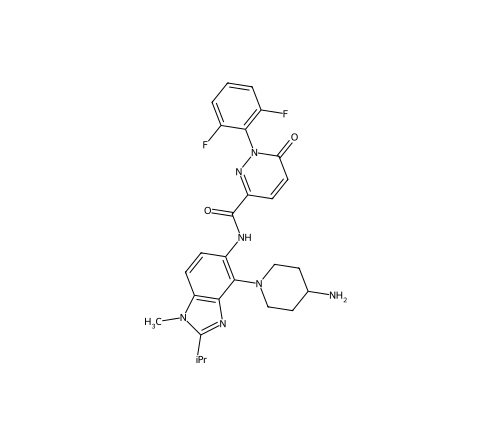 CC(C)c1nc2c(N3CCC(N)CC3)c(NC(=O)c3ccc(=O)n(-c4c(F)cccc4F)n3)ccc2n1C